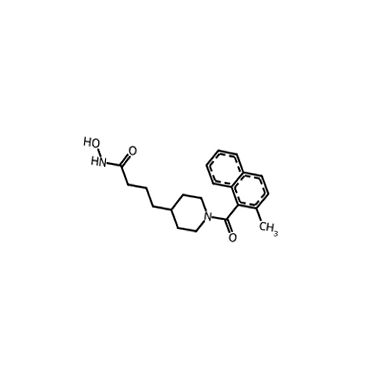 Cc1ccc2ccccc2c1C(=O)N1CCC(CCCC(=O)NO)CC1